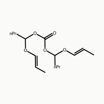 CC=COC(CCC)OC(=O)OC(CCC)OC=CC